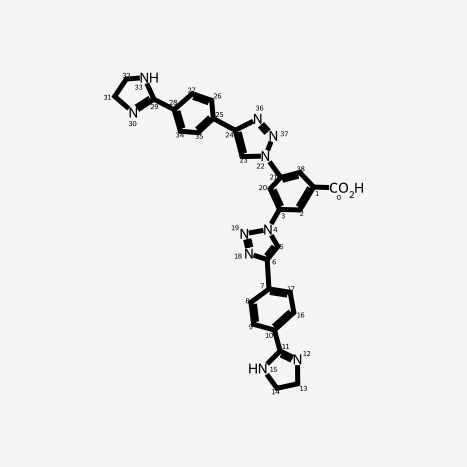 O=C(O)c1cc(-n2cc(-c3ccc(C4=NCCN4)cc3)nn2)cc(-n2cc(-c3ccc(C4=NCCN4)cc3)nn2)c1